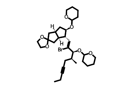 CCC#CC[C@H](C)[C@H](OC1CCCCO1)C(Br)=C[C@@H]1[C@H]2CC3(C[C@H]2C[C@H]1OC1CCCCO1)OCCO3